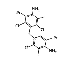 Cc1c(N)c(C(C)C)cc(Cc2c(Cl)c(C)c(N)c(C(C)C)c2Cl)c1Cl